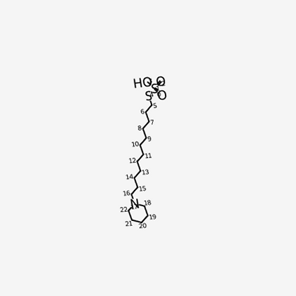 O=S(=O)(O)SCCCCCCCCCCCCN1CCCCC1